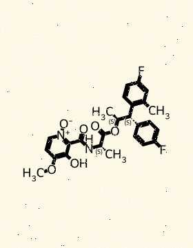 COc1cc[n+]([O-])c(C(=O)N[C@@H](C)C(=O)O[C@@H](C)[C@@H](c2ccc(F)cc2)c2ccc(F)cc2C)c1O